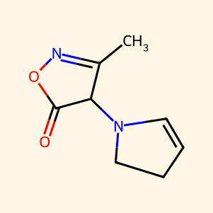 CC1=NOC(=O)C1N1C=CCC1